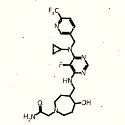 NC(=O)CN1CCC(O)C(CNc2ncnc(N(Cc3ccc(C(F)(F)F)nc3)C3CC3)c2F)CC1